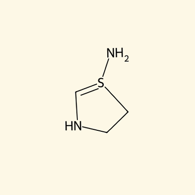 NS1=CNCC1